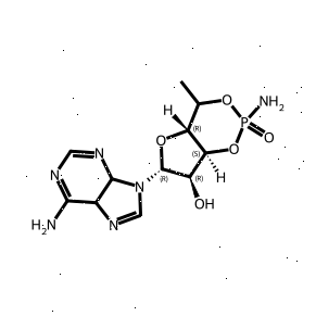 CC1OP(N)(=O)O[C@H]2[C@@H](O)[C@H](N3C=NC4C(N)=NC=NC43)O[C@H]12